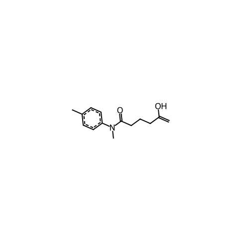 C=C(O)CCCC(=O)N(C)c1ccc(C)cc1